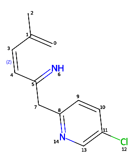 C=C(C)/C=C\C(=N)Cc1ccc(Cl)cn1